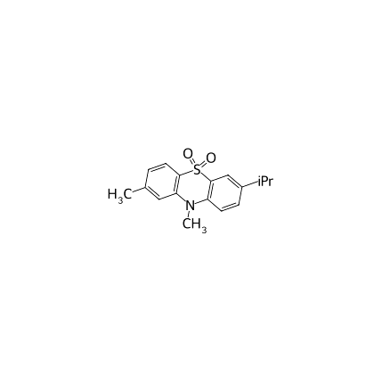 Cc1ccc2c(c1)N(C)c1ccc(C(C)C)cc1S2(=O)=O